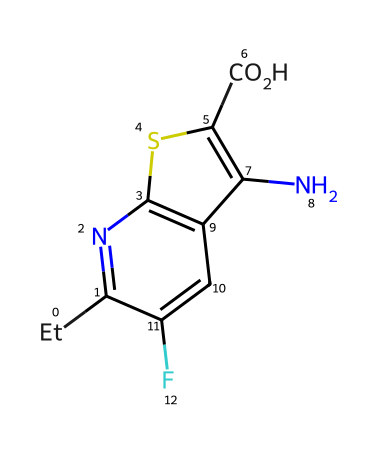 CCc1nc2sc(C(=O)O)c(N)c2cc1F